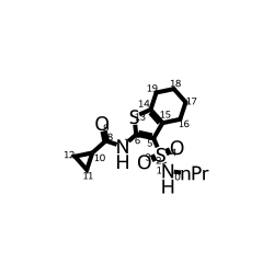 CCCNS(=O)(=O)c1c(NC(=O)C2CC2)sc2c1CCCC2